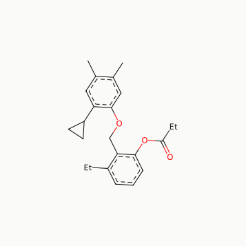 CCC(=O)Oc1cccc(CC)c1COc1cc(C)c(C)cc1C1CC1